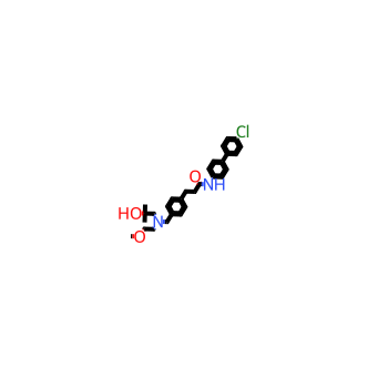 COCCN(Cc1ccc(CCC(=O)Nc2ccc(-c3ccc(Cl)cc3)cc2)cc1)CC(C)(C)O